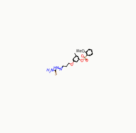 COc1ccccc1S(=O)(=O)Oc1cc(C)cc(OCC/C=N/NC(N)=S)c1